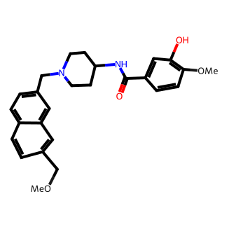 COCc1ccc2ccc(CN3CCC(NC(=O)c4ccc(OC)c(O)c4)CC3)cc2c1